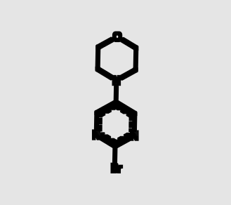 Brc1ncc(N2CCOCC2)cn1